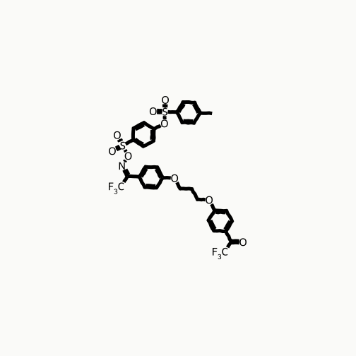 Cc1ccc(S(=O)(=O)Oc2ccc(S(=O)(=O)ON=C(c3ccc(OCCCOc4ccc(C(=O)C(F)(F)F)cc4)cc3)C(F)(F)F)cc2)cc1